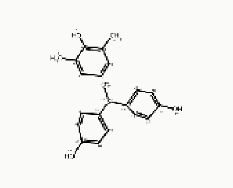 Cc1cccc(C)c1O.[O-][S+](c1ccc(O)cc1)c1ccc(O)cc1